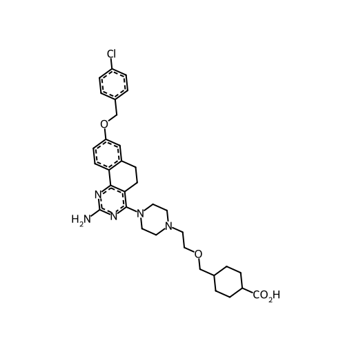 Nc1nc2c(c(N3CCN(CCOCC4CCC(C(=O)O)CC4)CC3)n1)CCc1cc(OCc3ccc(Cl)cc3)ccc1-2